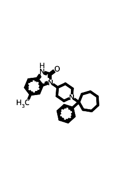 Cc1ccc2[nH]c(=O)n(C3CCN(C4(c5ccccc5)CCCCCC4)CC3)c2c1